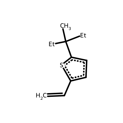 C=Cc1ccc(C(C)(CC)CC)s1